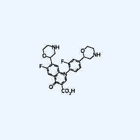 O=C(O)c1cn(-c2ccc(C3CNCCO3)cc2F)c2cc(C3CNCCO3)c(F)cc2c1=O